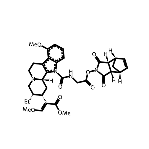 CC[C@@H]1CN2CCc3c(n(C(=O)NCC(=O)ON4C(=O)[C@@H]5[C@H](C4=O)[C@@H]4C=C[C@H]5C4)c4cccc(OC)c34)[C@@H]2C[C@@H]1/C(=C\OC)C(=O)OC